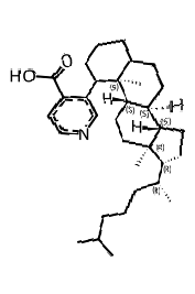 CC(C)CCC[C@@H](C)[C@H]1CC[C@H]2[C@@H]3CCC4CCCC(c5cnccc5C(=O)O)[C@]4(C)[C@H]3CC[C@]12C